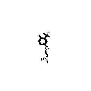 CNCCOc1ccc(C)c(C(C)(C)F)c1